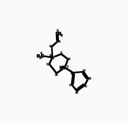 C=CC[N+]1(C)CC[SiH](c2ccccc2)CC1